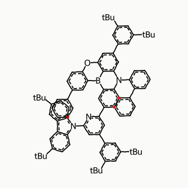 CC(C)(C)c1cc(-c2cc(-c3ccc4c(c3)B3c5cc(-c6ccccc6)ccc5Oc5cc(-c6cc(C(C)(C)C)cc(C(C)(C)C)c6)cc(c53)N4c3ccccc3-c3ccccc3)nc(-n3c4ccc(C(C)(C)C)cc4c4cc(C(C)(C)C)ccc43)c2)cc(C(C)(C)C)c1